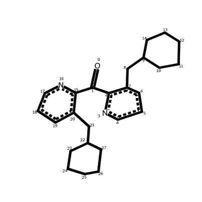 O=C(c1ncccc1CC1CCCCC1)c1ncccc1CC1CCCCC1